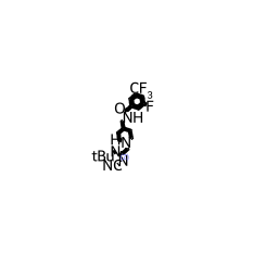 CC(C)(C)N/C(CN1CCC(CNC(=O)c2cc(F)cc(C(F)(F)F)c2)CC1)=N\C#N